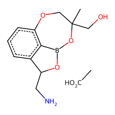 CC(=O)O.CC1(CO)COc2cccc3c2B(OC3CN)O1